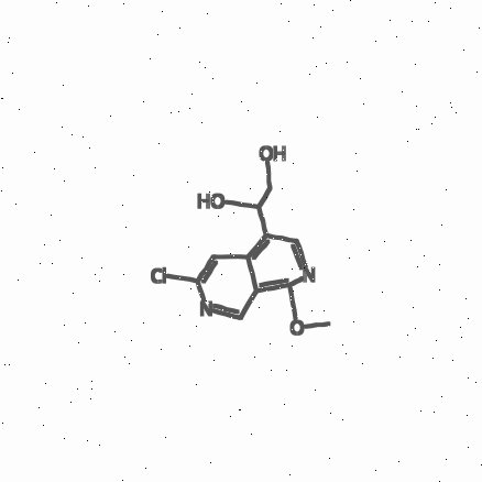 COc1ncc(C(O)CO)c2cc(Cl)ncc12